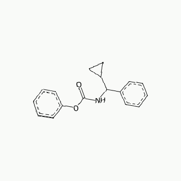 O=C(NC(c1ccccc1)C1CC1)Oc1ccccc1